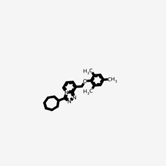 Cc1cc(C)c(OCc2cccn3c(C4CCCCCC4)nnc23)c(C)c1